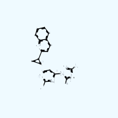 Cc1nc([C@@H]2CC2c2ccc3ccccc3n2)cc(-n2nc(C)nc2C)n1